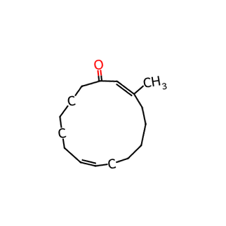 CC1=CC(=O)CCCCCC=CCCCCC1